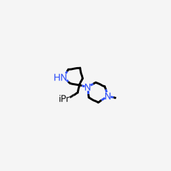 CC(C)CC1(N2CCN(C)CC2)CCCNC1